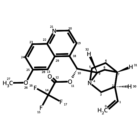 C=C[C@H]1CN2CC[C@H]1C[C@H]2[C@H](OC(=O)C(F)(F)F)c1ccnc2ccc(OC)cc12